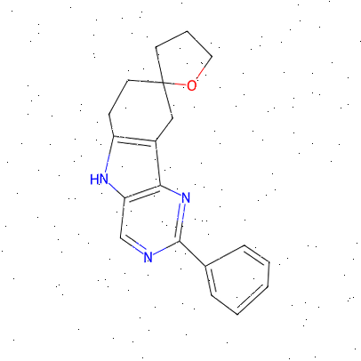 c1ccc(-c2ncc3[nH]c4c(c3n2)CC2(CCCO2)CC4)cc1